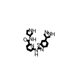 O=C(NC1CCNC1)c1cccc(Nc2nc3ccc(C4C=NNC4)cc3s2)n1